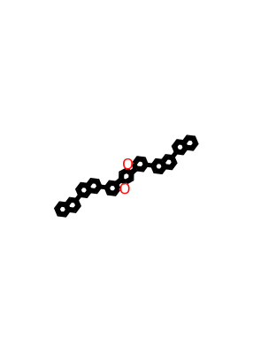 c1ccc2cc(-c3ccc4ccc(-c5ccc6oc7cc8c(cc7c6c5)oc5ccc(-c6ccc7ccc(-c9ccc%10ccccc%10c9)cc7c6)cc58)cc4c3)ccc2c1